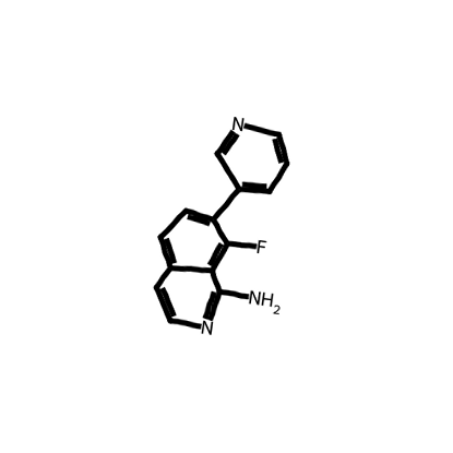 Nc1nccc2ccc(-c3cccnc3)c(F)c12